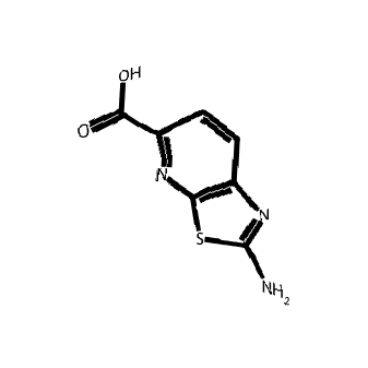 Nc1nc2ccc(C(=O)O)nc2s1